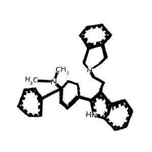 CN(C)C1(c2ccccc2)CC=C(c2[nH]c3ccccc3c2CCN2Cc3ccccc3C2)CC1